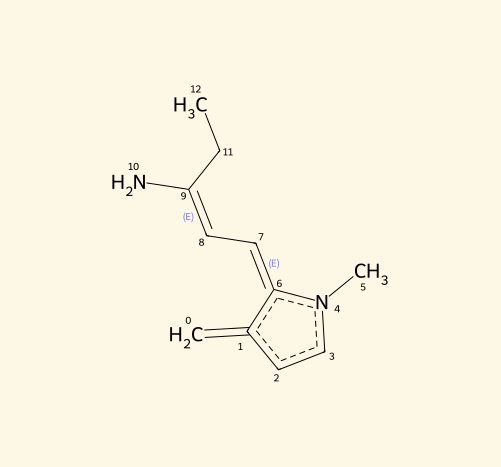 C=c1ccn(C)/c1=C/C=C(/N)CC